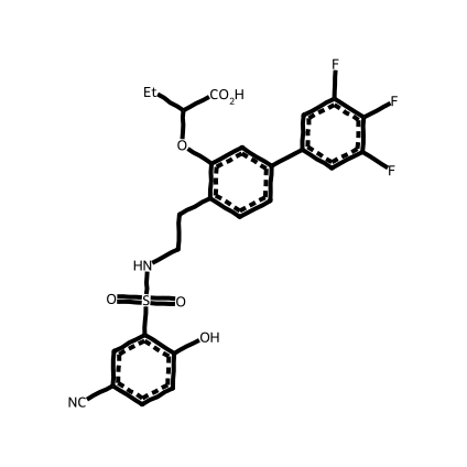 CCC(Oc1cc(-c2cc(F)c(F)c(F)c2)ccc1CCNS(=O)(=O)c1cc(C#N)ccc1O)C(=O)O